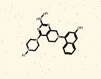 CCCNc1nc2c(c(N3CCN(C(C)=O)CC3)n1)CCN(c1cc(O)cc3ccccc13)C2